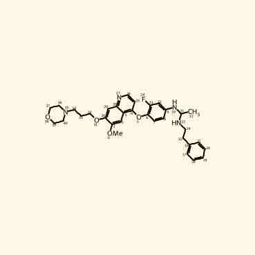 COc1cc2c(Oc3ccc(NC(C)NCCc4ccccc4)cc3F)ccnc2cc1OCCCN1CCOCC1